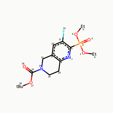 CCOP(=O)(OCC)c1nc2c(cc1F)CN(C(=O)OC(C)(C)C)CC2